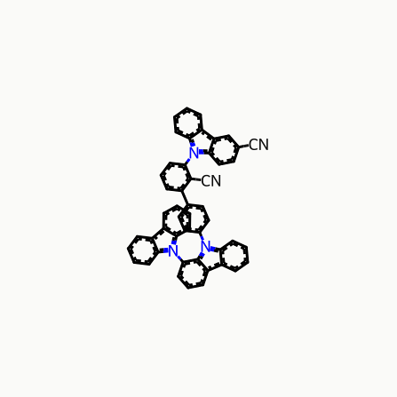 N#Cc1ccc2c(c1)c1ccccc1n2-c1cccc(-c2ccc(-n3c4ccccc4c4cccc(-n5c6ccccc6c6ccccc65)c43)cc2)c1C#N